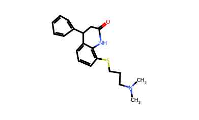 CN(C)CCCSc1cccc2c1NC(=O)CC2c1ccccc1